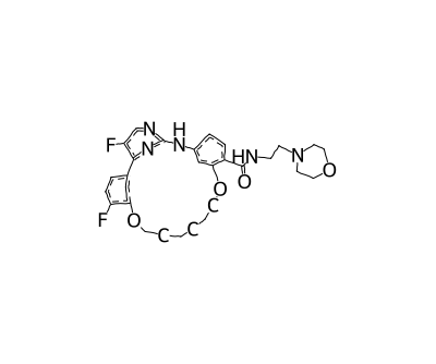 O=C(NCCN1CCOCC1)c1ccc2cc1OCCCCCCOc1cc(ccc1F)-c1nc(ncc1F)N2